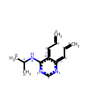 C=C/C=c1/ncnc(NC(C)C)/c1=C/C=C